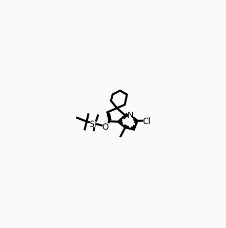 Cc1cc(Cl)nc2c1C(O[Si](C)(C)C(C)(C)C)=CC21CCCCC1